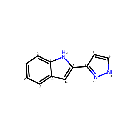 c1ccc2[nH]c(-c3cc[nH]n3)cc2c1